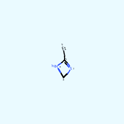 CCC1=NCN1